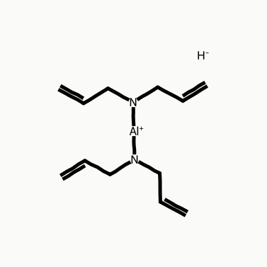 C=CC[N](CC=C)[Al+][N](CC=C)CC=C.[H-]